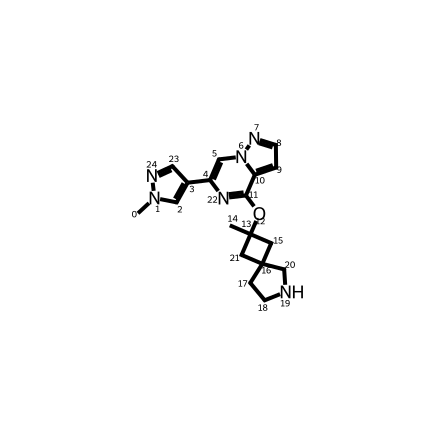 Cn1cc(-c2cn3nccc3c(OC3(C)CC4(CCNC4)C3)n2)cn1